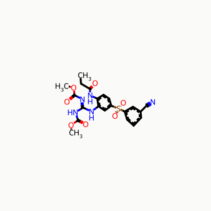 CCC(=O)Nc1ccc(S(=O)(=O)c2cccc(C#N)c2)cc1NC(=NC(=O)OC)NC(=O)OC